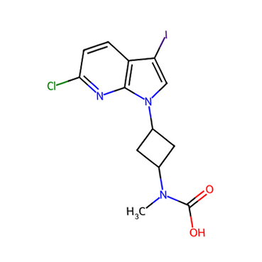 CN(C(=O)O)C1CC(n2cc(I)c3ccc(Cl)nc32)C1